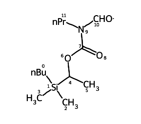 CCCC[Si](C)(C)C(C)OC(=O)N([C]=O)CCC